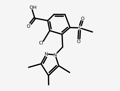 Cc1nn(Cc2c(S(C)(=O)=O)ccc(C(=O)O)c2Cl)c(C)c1C